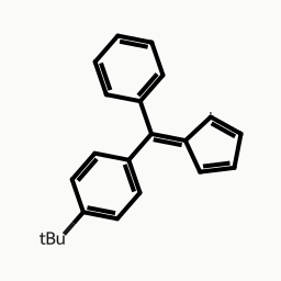 CC(C)(C)c1ccc(C(=C2[C]=CC=C2)c2ccccc2)cc1